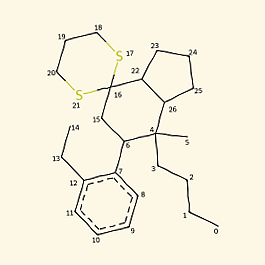 CCCCC1(C)C(c2ccccc2CC)CC2(SCCCS2)C2CCCC21